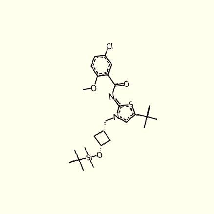 COc1ccc(Cl)cc1C(=O)N=c1sc(C(C)(C)C)cn1C[C@H]1C[C@@H](O[Si](C)(C)C(C)(C)C)C1